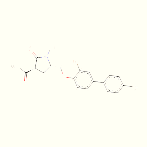 COC(=O)[C@@H]1C[C@@H](COc2ccc(-c3ccc(C#N)cc3)cc2Br)N(C)C1=O